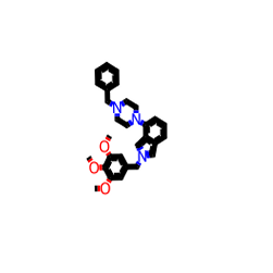 COc1cc(Cn2cc3cccc(N4CCN(Cc5ccccc5)CC4)c3c2)cc(OC)c1OC